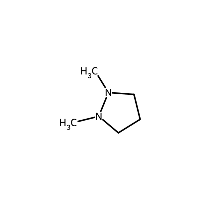 CN1CCCN1C